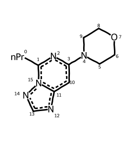 CCCc1nc(N2CCOCC2)cc2ncnn12